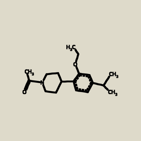 CCOc1cc(C(C)C)ccc1C1CCN(C(C)=O)CC1